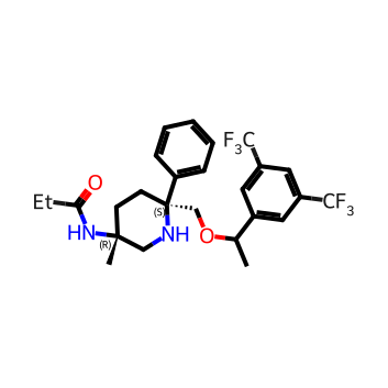 CCC(=O)N[C@]1(C)CC[C@@](COC(C)c2cc(C(F)(F)F)cc(C(F)(F)F)c2)(c2ccccc2)NC1